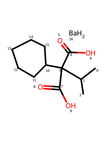 CC(C)C(C(=O)O)(C(=O)O)C1CCCCC1.[BaH2]